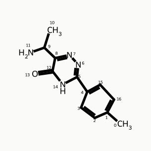 Cc1ccc(-c2nnc(C(C)N)c(=O)[nH]2)cc1